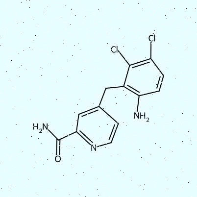 NC(=O)c1cc(Cc2c(N)ccc(Cl)c2Cl)ccn1